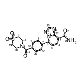 NC(=O)c1ccc(-c2ccc(C(=O)N3CCS(=O)(=O)CC3)cc2)n2n[c]nc12